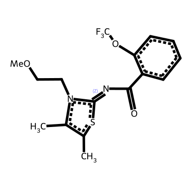 COCCn1c(C)c(C)s/c1=N\C(=O)c1ccccc1OC(F)(F)F